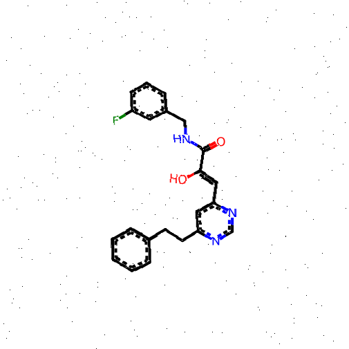 O=C(NCc1cccc(F)c1)/C(O)=C/c1cc(CCc2ccccc2)ncn1